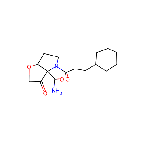 NC(=O)C12C(=O)COC1CCN2C(=O)[CH]CC1CCCCC1